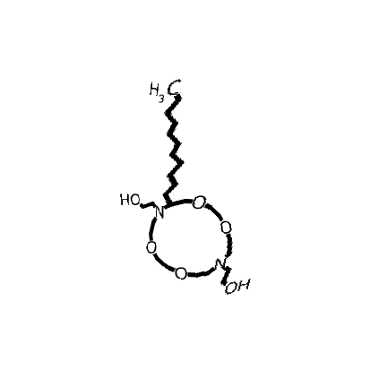 CCCCCCCCCCCC1COCCOCCN(CCO)CCOCCOCCN1CCO